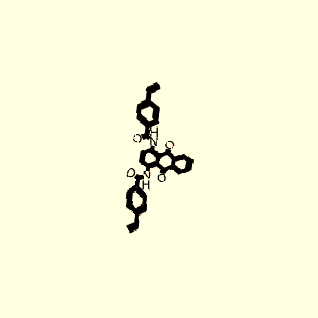 C=Cc1ccc(C(=O)Nc2ccc(NC(=O)c3ccc(C=C)cc3)c3c2C(=O)c2ccccc2C3=O)cc1